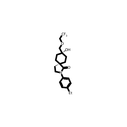 CCc1ccc(N2CC[C@]3(CC[C@](O)(COCC(F)(F)F)CC3)C2=O)cc1